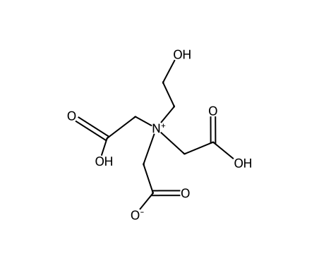 O=C([O-])C[N+](CCO)(CC(=O)O)CC(=O)O